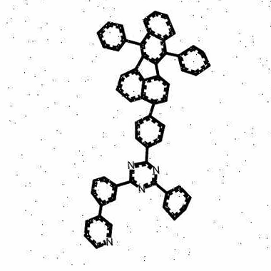 c1ccc(-c2nc(-c3ccc(-c4ccc5c6c(cccc46)-c4c-5c(-c5ccccc5)c5ccccc5c4-c4ccccc4)cc3)nc(-c3cccc(-c4cccnc4)c3)n2)cc1